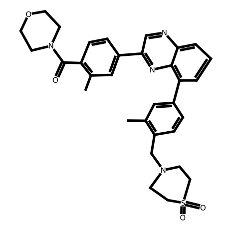 Cc1cc(-c2cccc3ncc(-c4ccc(C(=O)N5CCOCC5)c(C)c4)nc23)ccc1CN1CCS(=O)(=O)CC1